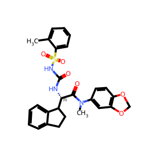 Cc1ccccc1S(=O)(=O)NC(=O)N[C@H](C(=O)N(C)c1ccc2c(c1)OCO2)C1CCc2ccccc21